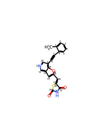 Cc1ccccc1C#Cc1cncc2cc(/C=C3\SC(=O)NC3=O)oc12